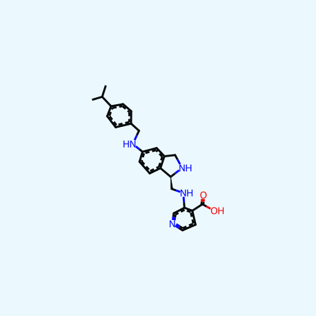 CC(C)c1ccc(CNc2ccc3c(c2)CN[C@H]3CNc2cnccc2C(=O)O)cc1